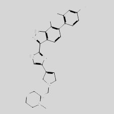 CCc1cc(O)ccc1-c1ccc2c(-c3nc(C4=CCN(C[C@@H]5COCCN5C)C4)c[nH]3)n[nH]c2c1F